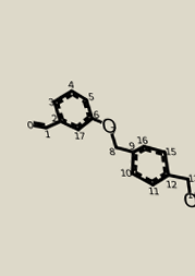 C=Cc1cccc(OCc2ccc(CO)cc2)c1